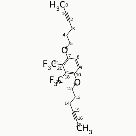 CC#CCCCOc1ccc(OCCCC#CC)c(C(F)(F)F)c1C(F)(F)F